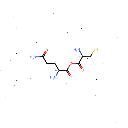 NC(=O)CC[C@H](N)C(=O)OC(=O)[C@@H](N)CS